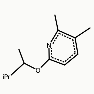 Cc1ccc(OC(C)C(C)C)nc1C